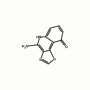 Nc1[nH]c2cccc(=O)c-2c2ocnc12